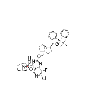 CC(C)(C)[Si](OC[C@H]1CC[C@@]2(COc3nc(N4CC5CCC(C4)N5C(=O)O)c4cnc(Cl)c(F)c4n3)CCCN12)(c1ccccc1)c1ccccc1